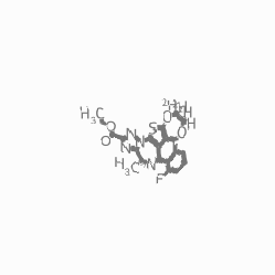 [2H]C1([2H])OCc2c(sc3c2C(c2c(F)cccc2F)=N[C@@H](C)c2nc(C(=O)OCC)nn2-3)OC1([2H])[2H]